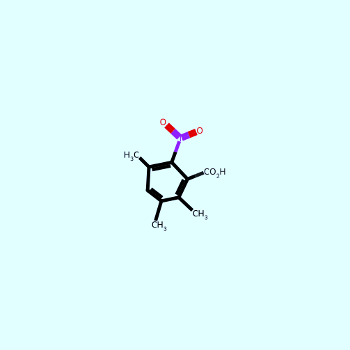 Cc1cc(C)c(I(=O)=O)c(C(=O)O)c1C